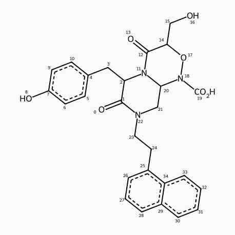 O=C1C(Cc2ccc(O)cc2)N2C(=O)C(CO)ON(C(=O)O)C2CN1CCc1cccc2ccccc12